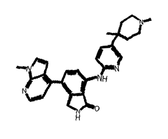 CN1CCC(C)(c2ccc(Nc3ccc(-c4ccnc5c4ccn5C)c4c3C(=O)NC4)nc2)CC1